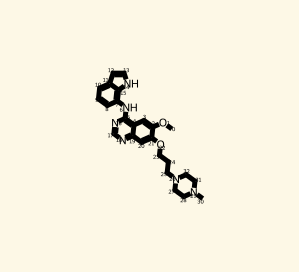 COc1cc2c(Nc3cccc4cc[nH]c34)ncnc2cc1OCCCN1CCN(C)CC1